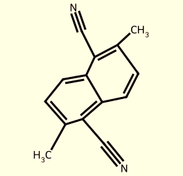 Cc1ccc2c(C#N)c(C)ccc2c1C#N